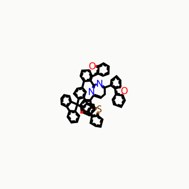 C1=C(c2cccc3c2sc2ccccc23)N=C(c2c(-c3ccc4c(c3)-c3ccccc3C43c4ccccc4-c4ccccc43)ccc3oc4ccccc4c23)N=C(c2cccc3oc4ccccc4c23)C1